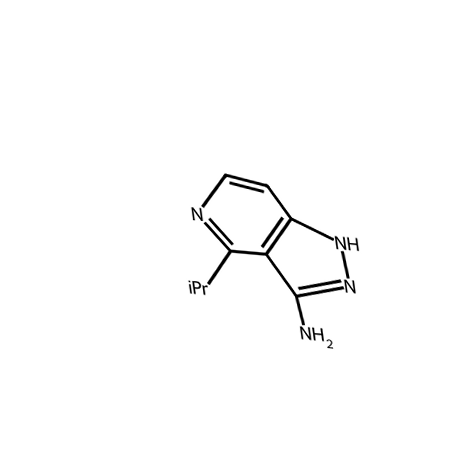 CC(C)c1nccc2[nH]nc(N)c12